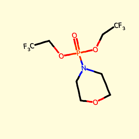 O=P(OCC(F)(F)F)(OCC(F)(F)F)N1CCOCC1